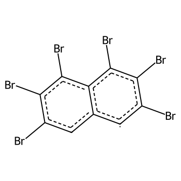 Brc1[c]c2cc(Br)c(Br)c(Br)c2c(Br)c1Br